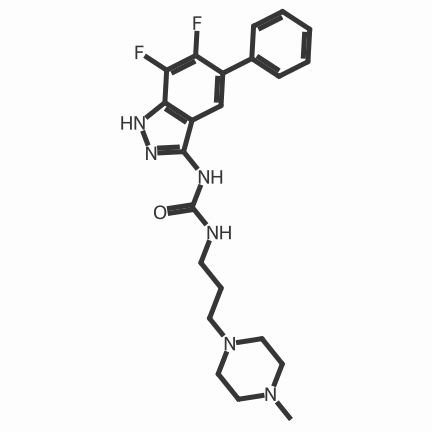 CN1CCN(CCCNC(=O)Nc2n[nH]c3c(F)c(F)c(-c4ccccc4)cc23)CC1